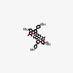 Cc1cccc(N(c2c(F)cc(-c3ccc(C(C)(C)C)cc3)cc2-c2ccc(C(C)(C)C)cc2)c2ccc3ccc4c(N(c5cccc(C)c5C)c5c(F)cc(-c6ccc(C(C)(C)C)cc6)cc5-c5ccc(C(C)(C)C)cc5)ccc5ccc2c3c54)c1C